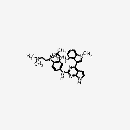 CC(=O)Nc1cc(Nc2nc(-c3cn(C)c4cccc(F)c34)c3cc[nH]c3n2)ccc1N(C)CCN(C)C